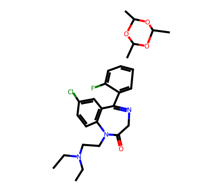 CC1OC(C)OC(C)O1.CCN(CC)CCN1C(=O)CN=C(c2ccccc2F)c2cc(Cl)ccc21